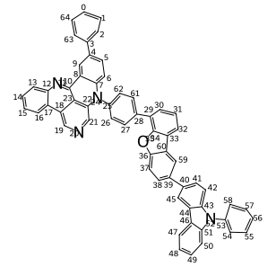 c1ccc(-c2ccc3c(c2)-c2nc4ccccc4c4cncc(c24)N3c2ccc(-c3cccc4c3oc3ccc(-c5ccc6c(c5)c5ccccc5n6-c5ccccc5)cc34)cc2)cc1